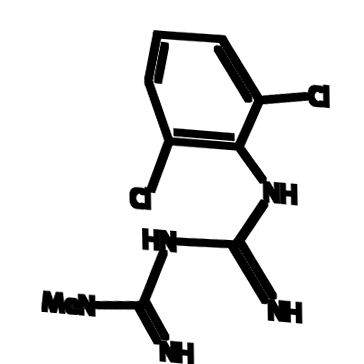 CNC(=N)NC(=N)Nc1c(Cl)cccc1Cl